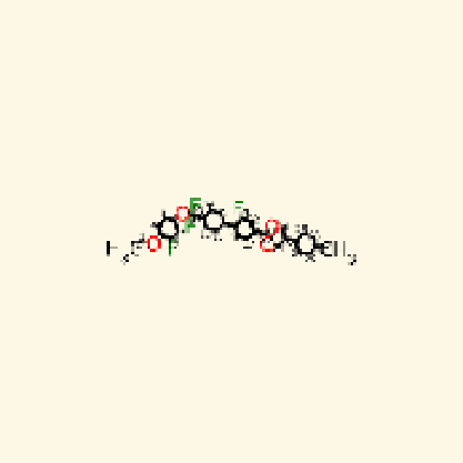 CCOc1ccc(OC(F)(F)C2CCC(c3ccc(C4OCC(C5CCC(C)CC5)CO4)cc3F)CC2)cc1F